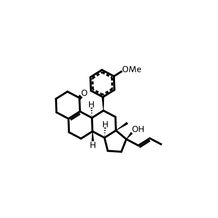 C/C=C/[C@]1(O)CC[C@H]2[C@@H]3CCC4=C(C(=O)CCC4)[C@H]3[C@@H](c3cccc(OC)c3)C[C@@]21C